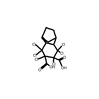 O=C(O)C1(Cl)C(Cl)(Cl)C2=C3CCC(C3)C2C(Cl)(Cl)C1(Cl)C(=O)O